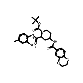 Cc1ccc(NC(=O)C2CC(NC(=O)c3ccc4c(c3)OCCO4)CCN2C(=O)OC(C)(C)C)c(N)c1